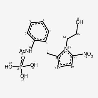 CC(=O)Nc1ccccc1.Cc1ncc([N+](=O)[O-])n1CCO.O=P(O)(O)O